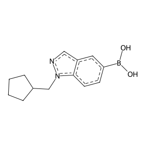 OB(O)c1ccc2c(cnn2CC2CCCC2)c1